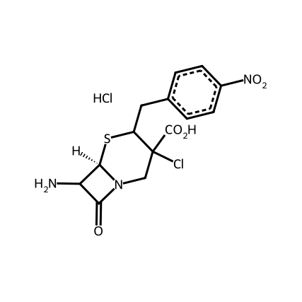 Cl.NC1C(=O)N2CC(Cl)(C(=O)O)C(Cc3ccc([N+](=O)[O-])cc3)S[C@H]12